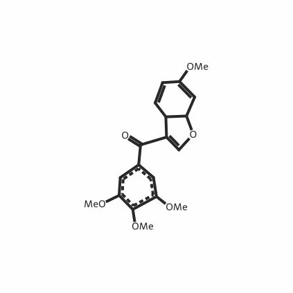 COC1=CC2OC=C(C(=O)c3cc(OC)c(OC)c(OC)c3)C2C=C1